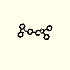 c1ccc(-c2nc3cc(-c4ccc(-n5c6ccccc6c6ccccc65)cc4)ccn3c2-c2ccccc2)cc1